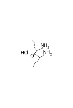 CCCC(CN)C(=O)C(CN)CCC.Cl